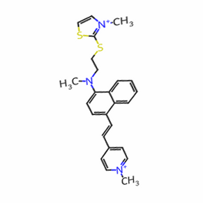 CN(CCSc1scc[n+]1C)c1ccc(/C=C/c2cc[n+](C)cc2)c2ccccc12